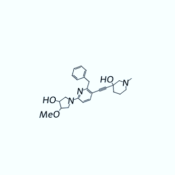 COC1CN(c2ccc(C#CC3(O)CCCN(C)C3)c(Cc3ccccc3)n2)CC1O